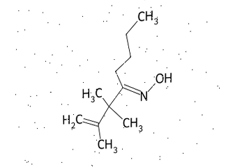 C=C(C)C(C)(C)C(CCCC)=NO